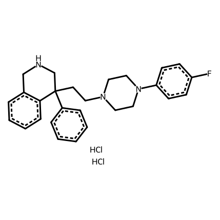 Cl.Cl.Fc1ccc(N2CCN(CCC3(c4ccccc4)CNCc4ccccc43)CC2)cc1